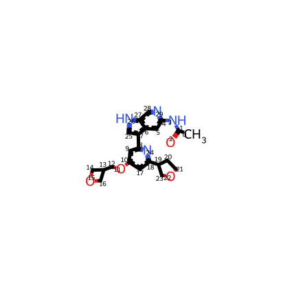 CC(=O)Nc1cc2c(-c3cc(OCC4COC4)cc(C4CCOC4)n3)c[nH]c2cn1